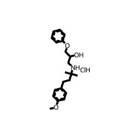 COc1ccc(CCC(C)(C)NCC(O)COc2ccccc2)cc1.Cl